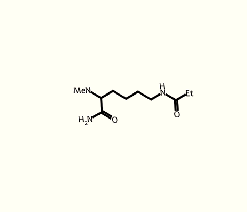 CCC(=O)NCCCCC(NC)C(N)=O